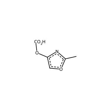 Cc1nc(OC(=O)O)co1